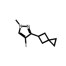 Cn1cc(I)c(C2CC3(CC3)C2)n1